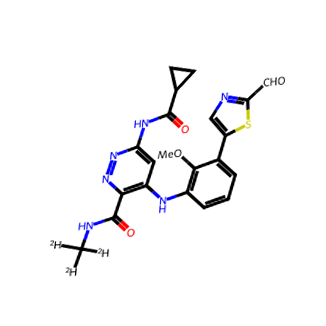 [2H]C([2H])([2H])NC(=O)c1nnc(NC(=O)C2CC2)cc1Nc1cccc(-c2cnc(C=O)s2)c1OC